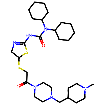 CN1CCC(CN2CCN(C(=O)CSC3CN=C(NC(=O)N(C4CCCCC4)C4CCCCC4)S3)CC2)CC1